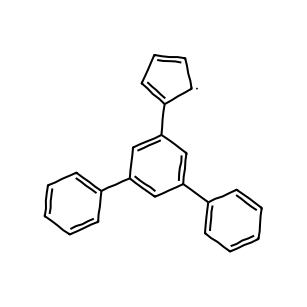 [CH]1C=CC=C1c1cc(-c2ccccc2)cc(-c2ccccc2)c1